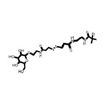 CCC(C)(C)C(=O)NCCNC(=O)CCSSCCC(=O)NCCOC1OC(CO)C(O)C(O)C1O